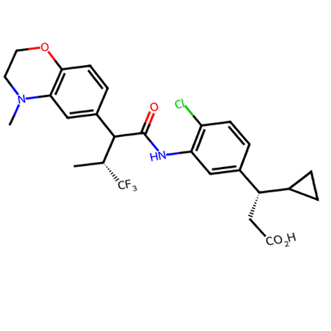 C[C@H](C(C(=O)Nc1cc([C@@H](CC(=O)O)C2CC2)ccc1Cl)c1ccc2c(c1)N(C)CCO2)C(F)(F)F